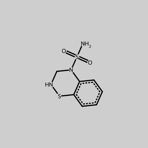 NS(=O)(=O)N1CNSc2ccccc21